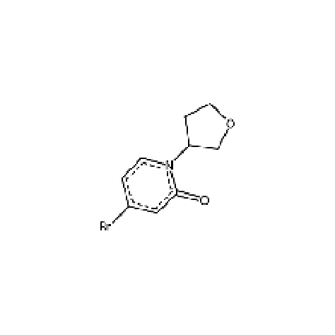 O=c1cc(Br)ccn1C1CCOC1